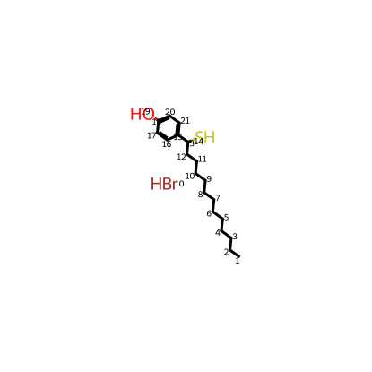 Br.CCCCCCCCCCCCC(S)c1ccc(O)cc1